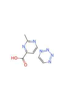 Cc1nccc(C(=O)O)n1.c1cnnnn1